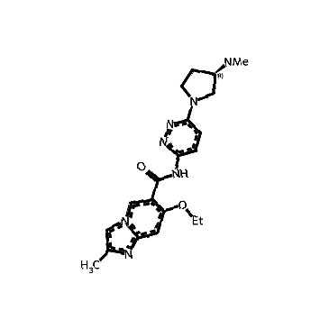 CCOc1cc2nc(C)cn2cc1C(=O)Nc1ccc(N2CC[C@@H](NC)C2)nn1